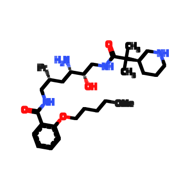 COCCCCOc1ccccc1C(=O)NC[C@@H](C[C@H](N)[C@@H](O)CNC(=O)C(C)(C)[C@@H]1CCCNC1)C(C)C